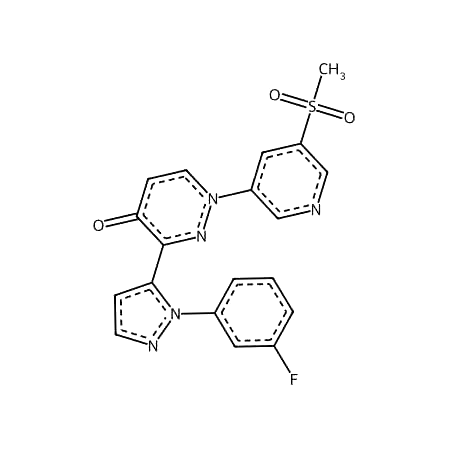 CS(=O)(=O)c1cncc(-n2ccc(=O)c(-c3ccnn3-c3cccc(F)c3)n2)c1